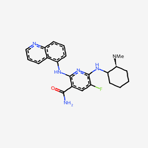 CN[C@H]1CCCCC1Nc1nc(Nc2cccc3ncccc23)c(C(N)=O)cc1F